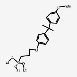 CCCCOc1ccc(C(C)(C)c2ccc(OCCC[Si](OCC)(OCC)OCC)cc2)cc1